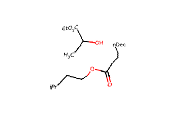 CCCCCCCCCCCC(=O)OCCC(C)C.CCOC(=O)C(C)O